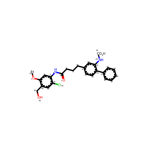 CCOc1cc(NC(=O)CCCc2ccc(-c3ccccc3)c(NC(=O)O)c2)c(Cl)cc1CO